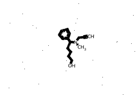 C#CCN(C)C(CCCCO)c1ccccc1